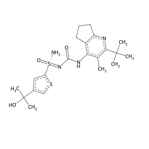 Cc1c(C(C)(C)C)nc2c(c1NC(=O)N=[S@](N)(=O)c1cc(C(C)(C)O)cs1)CCC2